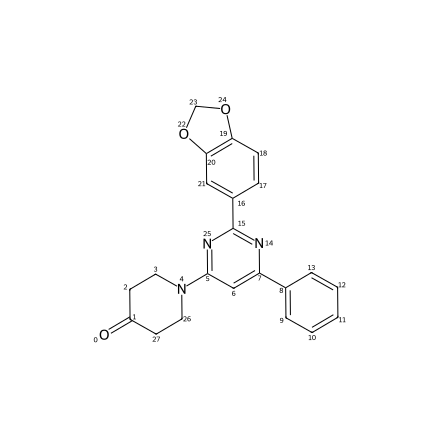 O=C1CCN(c2cc(-c3ccccc3)nc(-c3ccc4c(c3)OCO4)n2)CC1